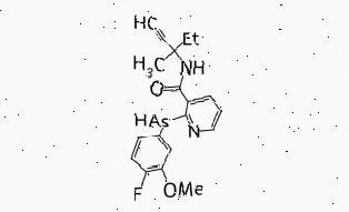 C#CC(C)(CC)NC(=O)c1cccnc1[AsH]c1ccc(F)c(OC)c1